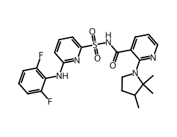 CC1CCN(c2ncccc2C(=O)NS(=O)(=O)c2cccc(Nc3c(F)cccc3F)n2)C1(C)C